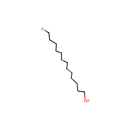 OCCCCCCCCCCCCCF